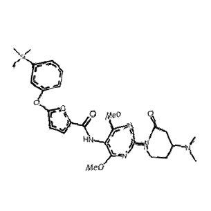 COc1nc(N2CCC(N(C)C)CC2=O)nc(OC)c1NC(=O)c1ccc(Oc2cccc([Si](C)(C)C)c2)o1